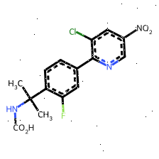 CC(C)(NC(=O)O)c1ccc(-c2ncc([N+](=O)[O-])cc2Cl)cc1F